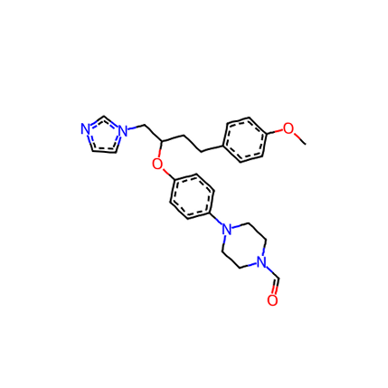 COc1ccc(CCC(Cn2ccnc2)Oc2ccc(N3CCN(C=O)CC3)cc2)cc1